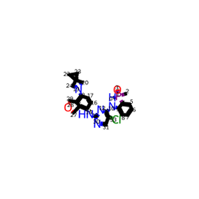 CP(C)(=O)c1ccccc1Nc1nc(Nc2ccc(N3CC4(CC4)C3)c3c2COC3)ncc1Cl